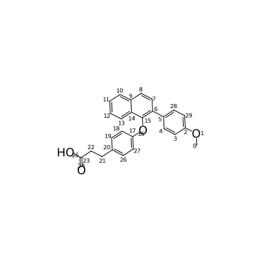 COc1ccc(-c2ccc3ccccc3c2Oc2ccc(CCC(=O)O)cc2)cc1